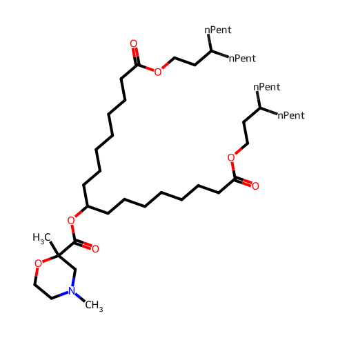 CCCCCC(CCCCC)CCOC(=O)CCCCCCCC(CCCCCCCC(=O)OCCC(CCCCC)CCCCC)OC(=O)C1(C)CN(C)CCO1